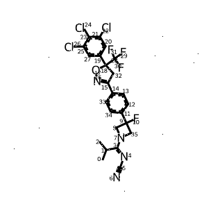 CC(C)C(=NC#N)N1CC(F)(c2ccc(C3=NOC(c4cc(Cl)c(Cl)c(Cl)c4)(C(F)(F)F)C3)cc2)C1